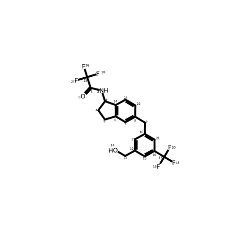 O=C(NC1CCc2cc(Cc3cc(CO)cc(C(F)(F)F)c3)ccc21)C(F)(F)F